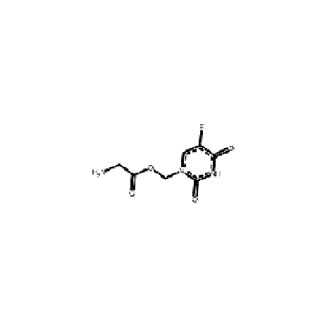 NCC(=O)OCn1cc(F)c(=O)[nH]c1=O